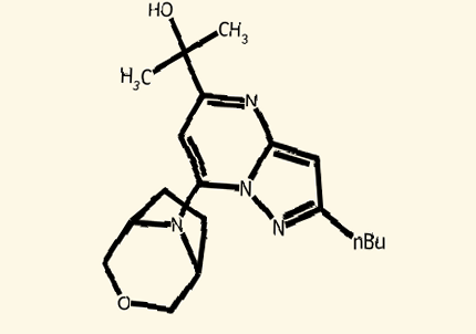 CCCCc1cc2nc(C(C)(C)O)cc(N3C4CCC3COC4)n2n1